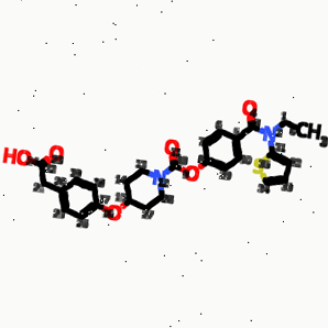 CCN(C(=O)c1ccc(OC(=O)N2CCC(Oc3ccc(CC(=O)O)cc3)CC2)cc1)c1cccs1